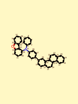 c1ccc(N(c2ccc(-c3ccc4ccc5c6ccccc6ccc5c4c3)cc2)c2cccc3oc4ccccc4c23)cc1